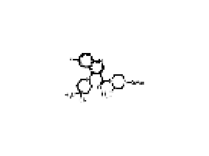 CSN1CCN(C(=O)c2cnc3ccc(F)cc3c2N2CCC(C)(C#N)CC2)C(C)C1